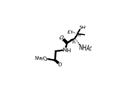 CC[C@@](C)(S)[C@H](NC(C)=O)C(=O)NCC(=O)OC